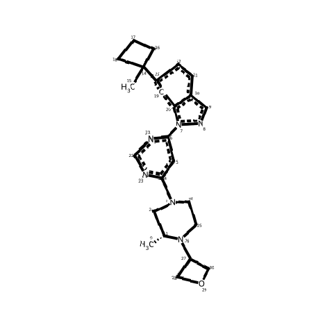 C[C@@H]1CN(c2cc(-n3ncc4ccc(C5(C)CCC5)cc43)ncn2)CCN1C1COC1